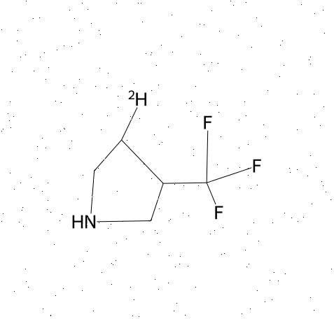 [2H]C1CNCC1C(F)(F)F